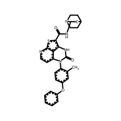 Cc1cc(Oc2ccccc2)ccc1N1C(=O)Nc2c(C(=O)NC3CC4CCN3CC4)sc3nccc1c23